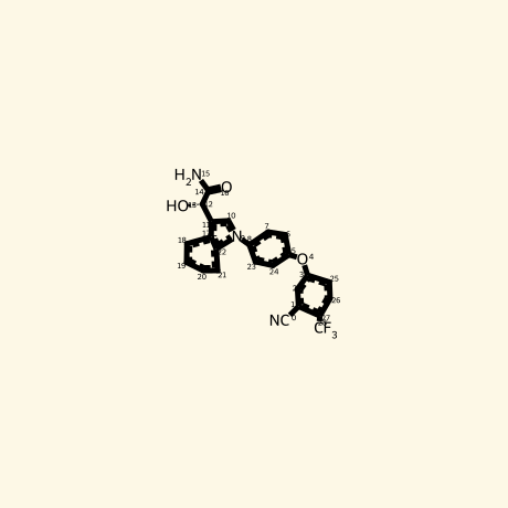 N#Cc1cc(Oc2ccc(-n3cc([C@H](O)C(N)=O)c4ccccc43)cc2)ccc1C(F)(F)F